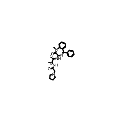 C[C@H](NC(=O)CN1CCCC1)C(=O)N[C@H]1N=C(c2ccccc2)c2ccccc2N(C)C1=O